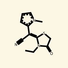 CCN1C(=O)CSC1=C(C#N)c1cccn1C